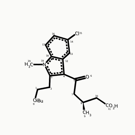 CC(C)COCCc1c(C(=O)C[C@H](C)CC(=O)O)c2cc(Cl)ccc2n1C